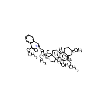 CC[C@@H]1C2C[C@H](O)CC[C@@]2(C)[C@H]2CCC3(C)[C@@H]([C@H](C)C/C=C/c4ccccc4C(=O)OC)CC[C@H]3[C@@H]2[C@@H]1O